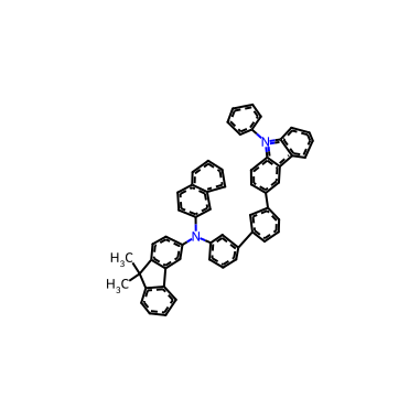 CC1(C)c2ccccc2-c2cc(N(c3cccc(-c4cccc(-c5ccc6c(c5)c5ccccc5n6-c5ccccc5)c4)c3)c3ccc4ccccc4c3)ccc21